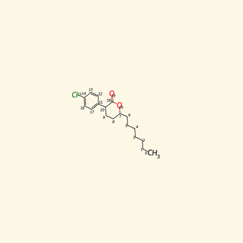 CCCCCCCC1CCC(c2ccc(Cl)cc2)C(=O)O1